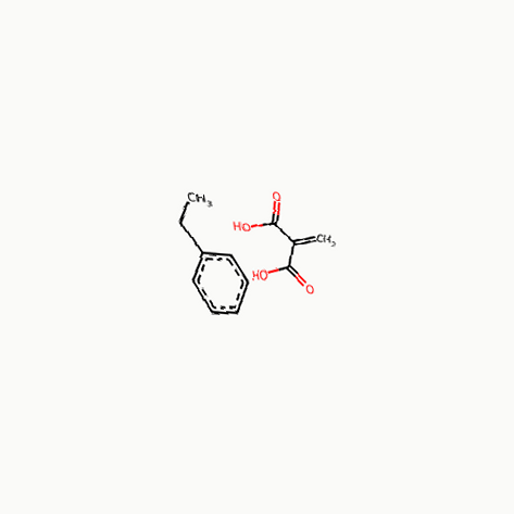 C=C(C(=O)O)C(=O)O.CCc1ccccc1